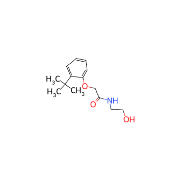 CC(C)(C)c1ccccc1OCC(=O)NCCO